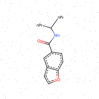 CCCC(CCC)NC(=O)c1ccc2occc2c1